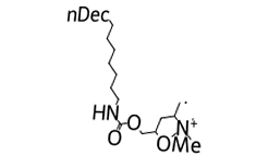 [CH2]C(CC(COC(=O)NCCCCCCCCCCCCCCCCC)OC)[N+](C)(C)C